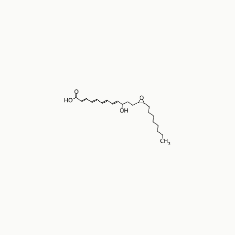 CCCCCCCCC1OC1CCC(O)C=CC=CC=CC=CC(=O)O